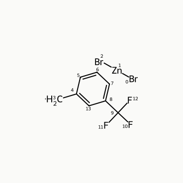 [Br][Zn][Br].[CH2]c1cccc(C(F)(F)F)c1